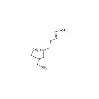 CCN(CC)CNCCC=C[SiH3]